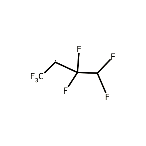 FC(F)C(F)(F)[CH]C(F)(F)F